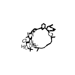 Cc1ccc2c(c1)-c1cccc(c1)-c1cc3nc(C)c([C@H](OC(C)(C)C)C(=O)O)c(n3n1)N1CCC(C)(CCC=CCC(C)O2)CC1